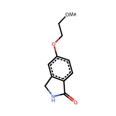 COCCOc1ccc2c(c1)CNC2=O